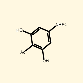 CC(=O)Nc1cc(O)c(C(C)=O)c(O)c1